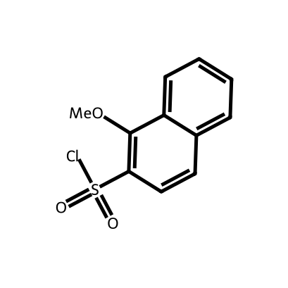 COc1c(S(=O)(=O)Cl)ccc2ccccc12